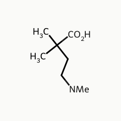 CNCCC(C)(C)C(=O)O